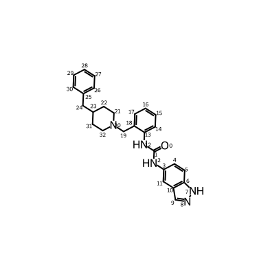 O=C(Nc1ccc2[nH]ncc2c1)Nc1ccccc1CN1CCC(Cc2ccccc2)CC1